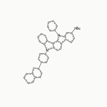 CCCCc1ccc2c3ccc4c(c5ccccc5n4-c4ccc(-c5ccc6ccccc6c5)cc4)c3n(-c3ccccc3)c2c1